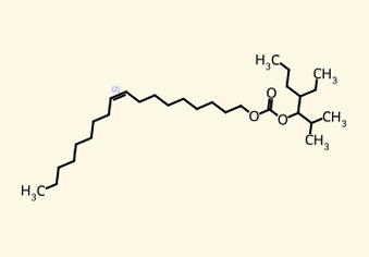 CCCCCCCC/C=C\CCCCCCCCOC(=O)OC(C(C)C)C(CC)CCC